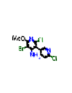 COc1nc(Cl)c(-c2ccc(Cl)nc2)c(N)c1Br